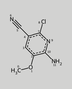 COc1cc(C#N)c(Cl)nc1N